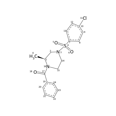 C[C@H]1CN(S(=O)(=O)c2ccc(Cl)cc2)CCN1C(=O)c1ccccc1